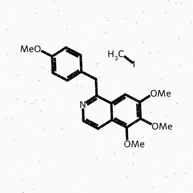 CI.COc1ccc(Cc2nccc3c(OC)c(OC)c(OC)cc23)cc1